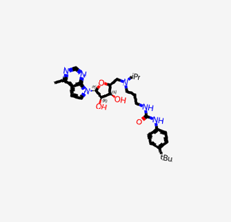 Cc1ncnc2c1ccn2[C@@H]1OC(CN(CCCNC(=O)Nc2ccc(C(C)(C)C)cc2)C(C)C)[C@@H](O)[C@H]1O